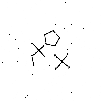 COC(C)(C)N1CCCC1.F[B-](F)(F)F